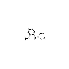 CCC(=O)Nc1cc(C)ccc1C(=O)N1CCOCC1